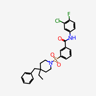 CCC1(Cc2ccccc2)CCN(S(=O)(=O)c2cccc(C(=O)Nc3ccc(F)c(Cl)c3)c2)CC1